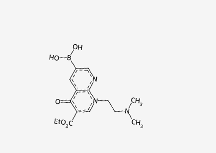 CCOC(=O)c1cn(CCN(C)C)c2ncc(B(O)O)cc2c1=O